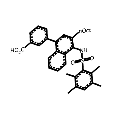 CCCCCCCCc1cc(-c2cccc(C(=O)O)c2)c2ccccc2c1NS(=O)(=O)c1c(C)c(C)cc(C)c1C